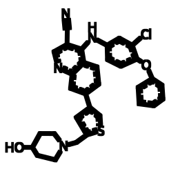 N#Cc1cnc2cc(-c3csc(CN4CCC(O)CC4)c3)ccc2c1Nc1ccc(Oc2ccccc2)c(Cl)c1